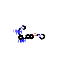 c1cc2cc(-c3n[nH]c4ccc(-c5n[nH]c(CN6CCCC6)n5)cc34)ccc2cc1OCCN1CCCCCC1